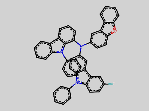 Fc1ccc2c(c1)c1cc(N(c3ccc4oc5ccccc5c4c3)c3cccc4c5ccccc5n(-c5ccccc5)c34)ccc1n2-c1ccccc1